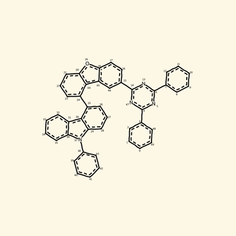 c1ccc(-c2nc(-c3ccccc3)nc(-c3ccc4oc5cccc(-c6cccc7c6c6ccccc6n7-c6ccccc6)c5c4c3)n2)cc1